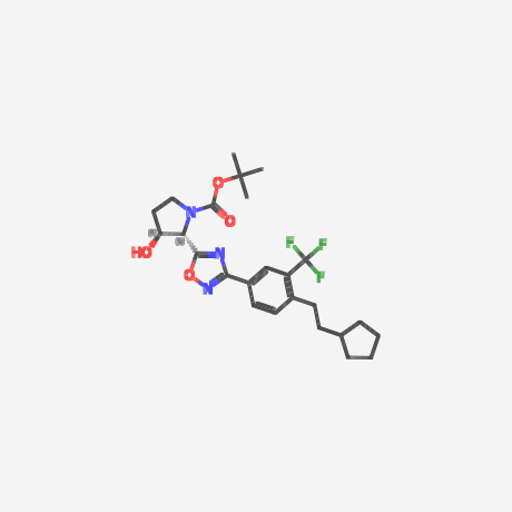 CC(C)(C)OC(=O)N1CC[C@H](O)[C@H]1c1nc(-c2ccc(CCC3CCCC3)c(C(F)(F)F)c2)no1